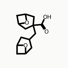 O=C(O)C1(CC2CC3CC(C2)O3)CC2CC(C1)O2